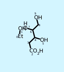 CCO.O=C(O)CC(O)C(O)CO